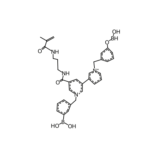 C=C(C)C(=O)NCCCNC(=O)c1cc(-c2ccc[n+](Cc3cccc(OBO)c3)c2)c[n+](Cc2cccc(B(O)O)c2)c1